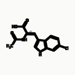 CC(=O)N/C(=C\c1c[nH]c2cc(Cl)ccc12)C(=O)O